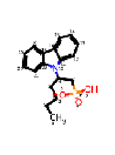 CCCCC(CP(=O)(O)O)n1c2ccccc2c2ccccc21